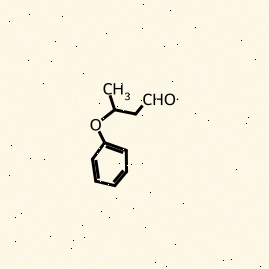 CC(C[C]=O)Oc1ccccc1